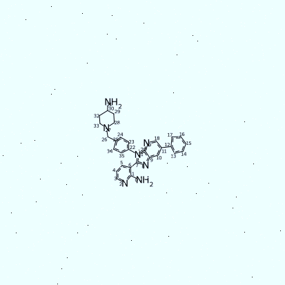 Nc1ncccc1-c1nc2cc(-c3ccccc3)cnc2n1-c1ccc(CN2CCC(N)CC2)cc1